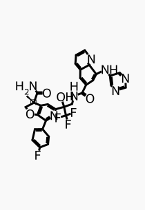 C[C@]1(C(N)=O)COc2c1cc(C(O)(CNC(=O)c1cc(Nc3cncnc3)c3ncccc3c1)C(F)(F)F)nc2-c1ccc(F)cc1